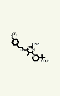 COC1=NC(N2CCCC(C(C)(C)C(=O)O)C2)C(C)C(NCCc2ccc(OC(F)(F)F)cc2)=N1